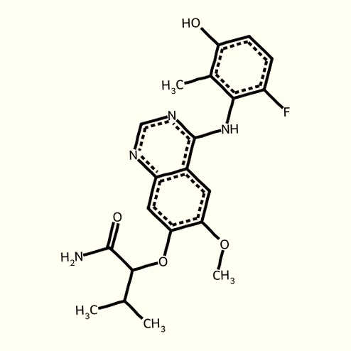 COc1cc2c(Nc3c(F)ccc(O)c3C)ncnc2cc1OC(C(N)=O)C(C)C